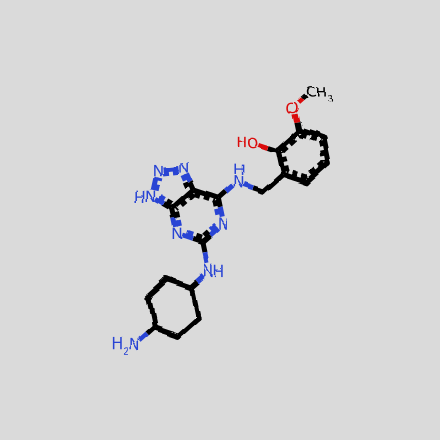 COc1cccc(CNc2nc(NC3CCC(N)CC3)nc3[nH]nnc23)c1O